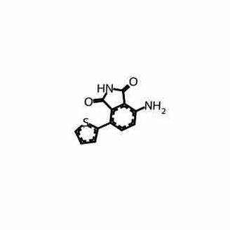 Nc1ccc(-c2cccs2)c2c1C(=O)NC2=O